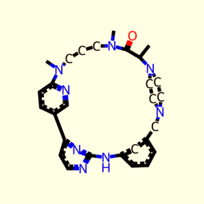 CC1C(=O)N(C)CCCN(C)c2ccc(cn2)-c2ccnc(n2)Nc2cccc(c2)CN2CCN1CC2